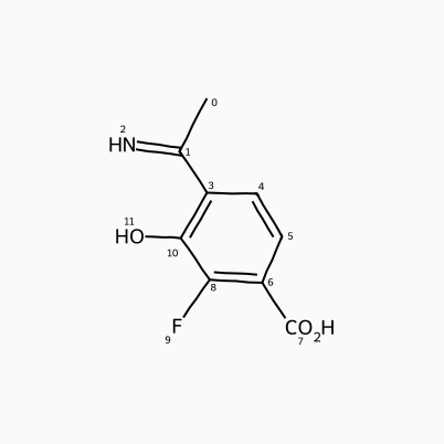 CC(=N)c1ccc(C(=O)O)c(F)c1O